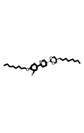 CCCCCCCCOc1ccc(-c2ccc([C@H]3OC[C@H](CCCCCCCC)CO3)cn2)cc1F